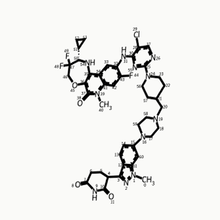 Cn1nc(C2CCC(=O)NC2=O)c2ccc(N3CCN(CC4CCN(c5ncc(Cl)c(Nc6cc7c8c(c(=O)n(C)c7cc6F)OCC(F)(F)[C@H](C6CC6)N8)n5)CC4)CC3)cc21